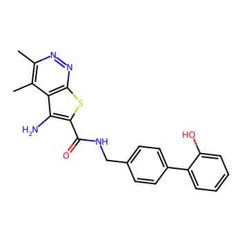 Cc1nnc2sc(C(=O)NCc3ccc(-c4ccccc4O)cc3)c(N)c2c1C